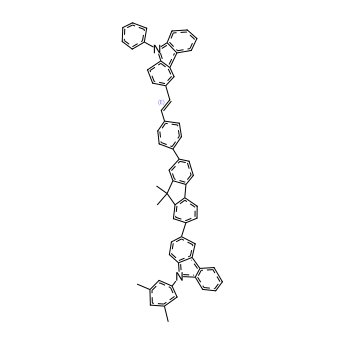 Cc1cc(C)cc(-n2c3ccccc3c3cc(-c4ccc5c(c4)C(C)(C)c4cc(-c6ccc(/C=C/c7ccc8c(c7)c7ccccc7n8-c7ccccc7)cc6)ccc4-5)ccc32)c1